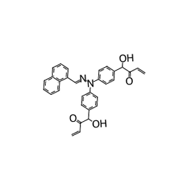 C=CC(=O)C(O)c1ccc(N(N=Cc2cccc3ccccc23)c2ccc(C(O)C(=O)C=C)cc2)cc1